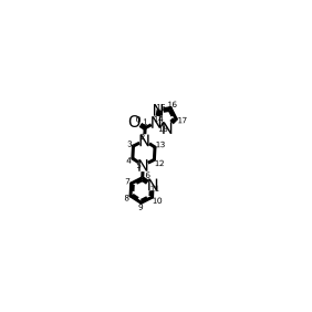 O=C(N1CCN(c2ccccn2)CC1)n1nccn1